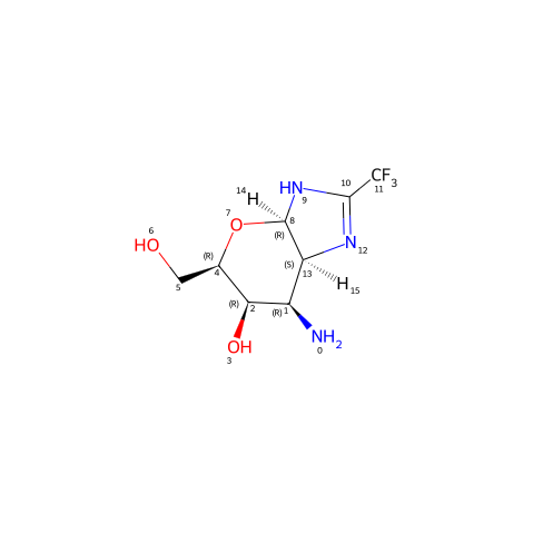 N[C@H]1[C@@H](O)[C@@H](CO)O[C@H]2NC(C(F)(F)F)=N[C@@H]12